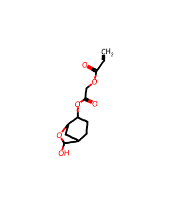 C=CC(=O)OCC(=O)OC1CCC2CC1OC2O